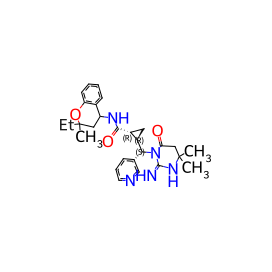 CCC1(C)CC(NC(=O)[C@@H]2C[C@H]2[C@@H](c2cccnc2)N2C(=N)NC(C)(C)CC2=O)c2ccccc2O1